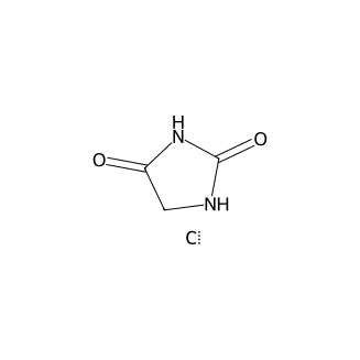 O=C1CNC(=O)N1.[C]